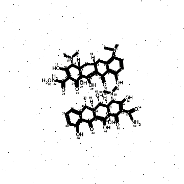 CN(C)c1ccc(O)c2c1C[C@H]1C[C@H]3[C@H](N(C)C)C(O)=C(C(N)=O)C(=O)[C@@]3(O)C(O)=C1C2=O.C[C@H]1c2cccc(O)c2C(=O)C2=C(O)[C@]3(O)C(=O)C(C(N)=O)=C(O)[C@@H](N(C)C)[C@@H]3[C@@H](O)[C@@H]21.O